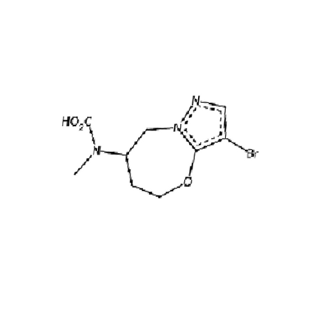 CN(C(=O)O)C1CCOc2c(Br)cnn2C1